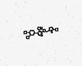 N#Cc1c(-c2ccc(Cl)c(Cl)c2)csc1OCc1ccc(Cl)s1